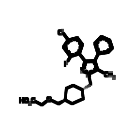 Cc1c(-c2ccccc2)c(-c2ccc(Cl)cc2F)nn1C[C@H]1CC[C@H](COCC(=O)O)CC1